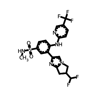 CNS(=O)(=O)c1ccc(Nc2ccc(C(F)(F)F)cn2)c(-c2cn3c(n2)CC(C(F)F)C3)c1